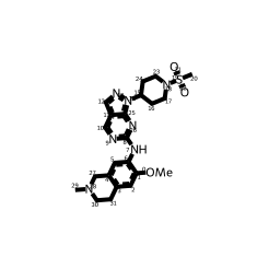 COc1cc2c(cc1Nc1ncc3cnn(C4CCN(S(C)(=O)=O)CC4)c3n1)CN(C)CC2